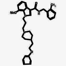 COc1cccc2c(C(=O)NCc3ccccc3C)cn(CCCN3CCC(CCOc4ccccc4)CC3)c12